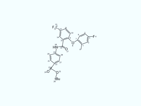 Cc1cc(F)ccc1Oc1ccc(C(F)(F)F)cc1C(=O)Nc1ccc(C(=O)OC(C)(C)C)cc1